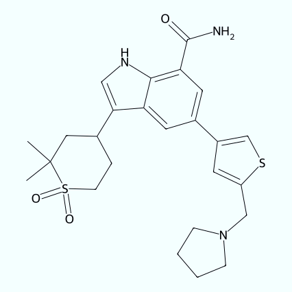 CC1(C)CC(c2c[nH]c3c(C(N)=O)cc(-c4csc(CN5CCCC5)c4)cc23)CCS1(=O)=O